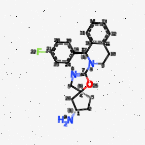 N[C@H]1CC[C@@]2(CN=C(N3CCc4ccccc4[C@@H]3c3ccc(F)cc3)O2)C1